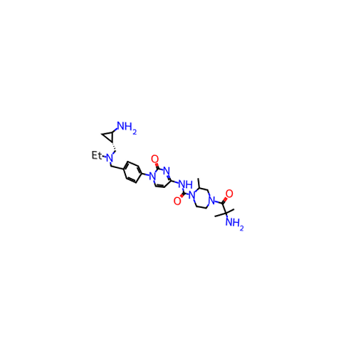 CCN(Cc1ccc(-n2ccc(NC(=O)N3CCN(C(=O)C(C)(C)N)CC3C)nc2=O)cc1)C[C@@H]1CC1N